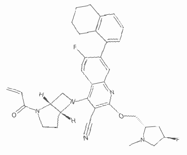 C=CC(=O)N1CC[C@@H]2[C@H]1CN2c1c(C#N)c(OC[C@@H]2C[C@@H](F)CN2C)nc2cc(-c3cccc4c3CCCC4)c(F)cc12